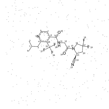 CC(C)Cc1nccc(C(=O)NCC(=O)N2CC(F)(F)C[C@H]2C#N)c1C(F)(F)F